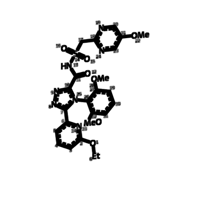 CCOc1cccc(-c2nnc(C(=O)NS(=O)(=O)Cc3ncc(OC)cn3)n2-c2c(OC)cccc2OC)n1